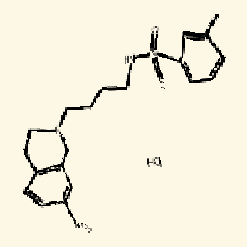 Cc1cccc(S(=O)(=O)NCCCCN2CCc3ccc([N+](=O)[O-])cc3C2)c1.Cl